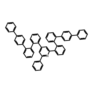 c1ccc(-c2ccc(-c3ccccc3-c3ccccc3-c3cc(-c4ccccc4)nc(-c4ccccc4-c4ccccc4-c4ccc(-c5ccccc5)cc4)c3)cc2)cc1